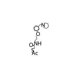 CC(=O)SCC(=O)NCCCOc1cccc(CN2CCCCC2)c1